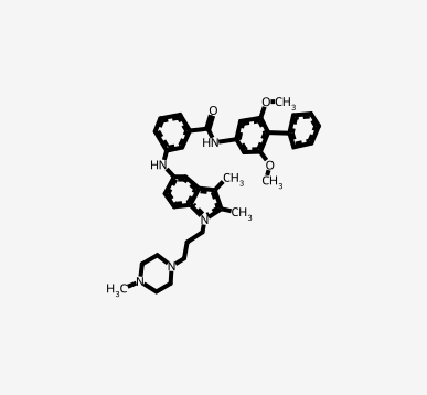 COc1cc(NC(=O)c2cccc(Nc3ccc4c(c3)c(C)c(C)n4CCCN3CCN(C)CC3)c2)cc(OC)c1-c1ccccc1